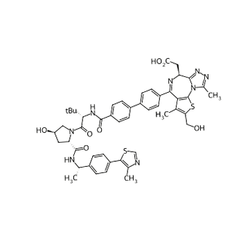 Cc1ncsc1-c1ccc([C@H](C)NC(=O)[C@@H]2C[C@@H](O)CN2C(=O)[C@@H](NC(=O)c2ccc(-c3ccc(C4=N[C@@H](CC(=O)O)c5nnc(C)n5-c5sc(CO)c(C)c54)cc3)cc2)C(C)(C)C)cc1